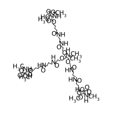 COC(OCCCCC(=O)NCCCNC(=O)CCOCC(COCCC(=O)NCCCNC(=O)CCCCOC(OC)C(NC(C)=O)[C@H](O)C=O)(COCCC(=O)NCCCNC(=O)CCCCOC(OC)C(NC(C)=O)[C@H](O)C=O)NC(C)C)C(NC(C)=O)[C@H](O)C=O